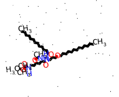 CCCCCCCCCCCCCCOCC(CNC(=O)C(CCCCNC(=O)OC(C)(C)C)NC(C)=O)OCCCCCCCCCCCCCC